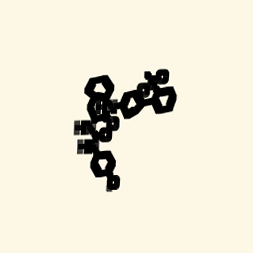 COc1ccc(NC(=O)NC(Cc2ccccc2)C(=O)Nc2ccc(-c3ccccc3S(C)(=O)=O)cc2)cc1